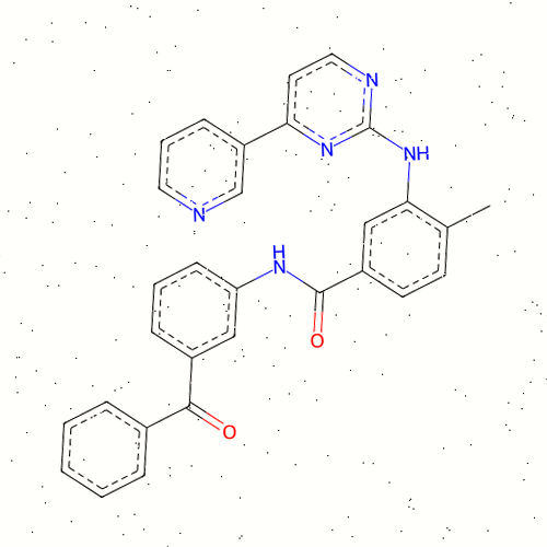 Cc1ccc(C(=O)Nc2cccc(C(=O)c3ccccc3)c2)cc1Nc1nccc(-c2cccnc2)n1